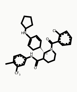 Cc1ccc(NC(=O)C2CCCN(C(=O)c3ccccc3Cl)[C@H]2C2C=CC(NC3CCCC3)=CC2)cc1C(F)(F)F